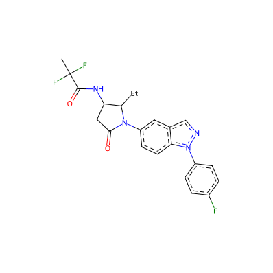 CCC1C(NC(=O)C(C)(F)F)CC(=O)N1c1ccc2c(cnn2-c2ccc(F)cc2)c1